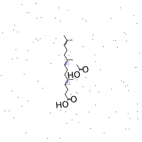 CC(=O)O.CC(C)=CCC/C(C)=C/CC/C(C)=C/CCC(=O)O